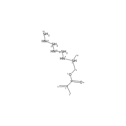 C=C(C)C(=O)OC[SiH](C)N[SiH2]N[SiH2]N[SiH3]